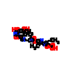 CCCc1cc2n(c(=O)c1COC(=O)O)Cc1c-2nc2ccc(OC(=O)N3CCC(CCn4ccc5cc(-n6c(O)nnc6-c6cc(C(C)C)c(O)cc6O)ccc54)CC3)cc2c1CC